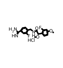 COc1ccc([C@H](OC)C(=O)NCc2ccc(C(=N)N)cc2F)c(F)c1.Cl